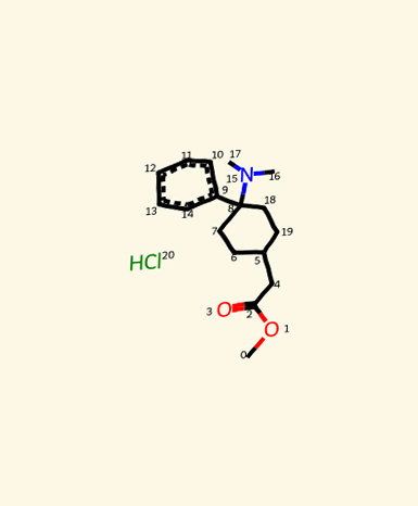 COC(=O)CC1CCC(c2ccccc2)(N(C)C)CC1.Cl